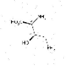 N[C@H](C(=O)O)[C@H](O)CP